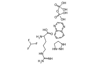 C1CNNN1.FC(F)F.N=C(N)NCCCC(N)C(=O)O.O=P(O)(O)OP(=O)(O)O.c1ccc2nccnc2c1